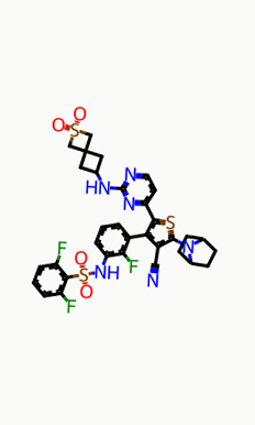 N#Cc1c(N2C3CCC2CC3)sc(-c2ccnc(NC3CC4(C3)CS(=O)(=O)C4)n2)c1-c1cccc(NS(=O)(=O)c2c(F)cccc2F)c1F